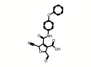 N#CC1OC(C=O)C(C(=O)O)=C1C(=O)Nc1ccc(Oc2ccccc2)cc1